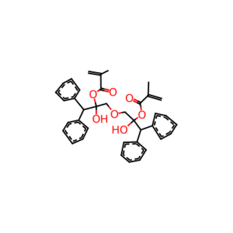 C=C(C)C(=O)OC(O)(COCC(O)(OC(=O)C(=C)C)C(c1ccccc1)c1ccccc1)C(c1ccccc1)c1ccccc1